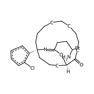 CCC(N)CCC1=N[C@]2(c3ccccc3Cl)CCCCCCCCCC(=O)[C@@H](CCC2)O1